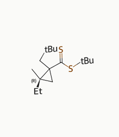 CC[C@]1(C)CC1(CC(C)(C)C)C(=S)SC(C)(C)C